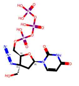 [N-]=[N+]=N[C@]1(CO)C[C@H](n2ccc(=O)[nH]c2=O)O[C@@H]1COP(=O)(O)OP(=O)(O)OP(=O)(O)O